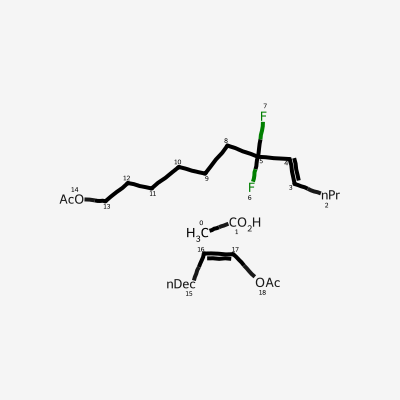 CC(=O)O.CCCC=CC(F)(F)CCCCCCOC(C)=O.CCCCCCCCCC/C=C\OC(C)=O